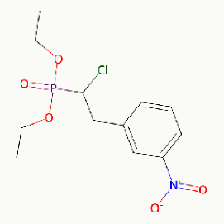 CCOP(=O)(OCC)C(Cl)Cc1cccc([N+](=O)[O-])c1